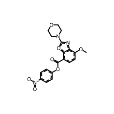 COc1ccc(C(=O)Oc2ccc([N+](=O)[O-])cc2)c2oc(N3CCOCC3)nc12